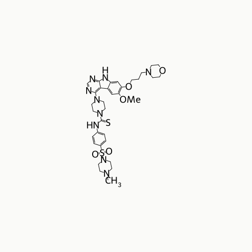 COc1cc2c(cc1OCCCN1CCOCC1)[nH]c1ncnc(N3CCN(C(=S)Nc4ccc(S(=O)(=O)N5CCN(C)CC5)cc4)CC3)c12